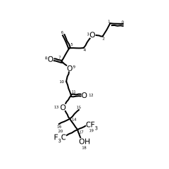 C=CCOCC(=C)C(=O)OCC(=O)OC(C)(C)C(O)(C(F)(F)F)C(F)(F)F